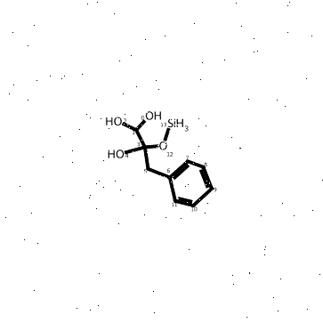 OC(O)C(O)(Cc1ccccc1)O[SiH3]